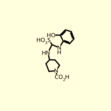 O=C(O)N1CCC(NC(Nc2ccccc2O)S(=O)(=O)O)CC1